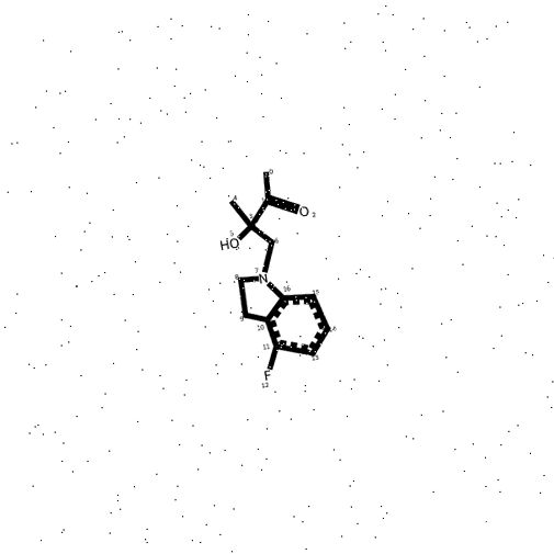 CC(=O)C(C)(O)CN1CCc2c(F)cccc21